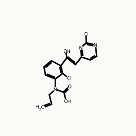 C=CCN(C(=O)O)c1cccc(C(O)=Cc2ccnc(Cl)n2)c1Cl